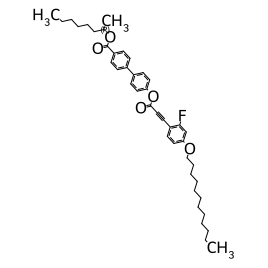 CCCCCCCCCCCCOc1ccc(C#CC(=O)Oc2ccc(-c3ccc(C(=O)O[C@H](C)CCCCCC)cc3)cc2)c(F)c1